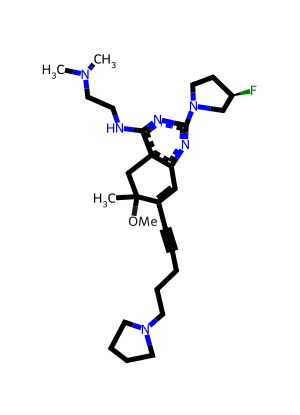 COC1(C)Cc2c(nc(N3CC[C@@H](F)C3)nc2NCCN(C)C)C=C1C#CCCCN1CCCC1